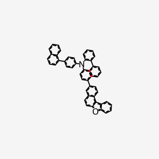 c1ccc(-c2ccccc2N(c2ccc(-c3ccc4c(ccc5oc6ccccc6c54)c3)cc2)c2ccc(-c3cccc4ccccc34)cc2)cc1